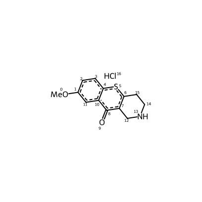 COc1ccc2sc3c(c(=O)c2c1)CNCC3.Cl